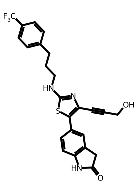 O=C1Cc2cc(-c3sc(NCCCc4ccc(C(F)(F)F)cc4)nc3C#CCO)ccc2N1